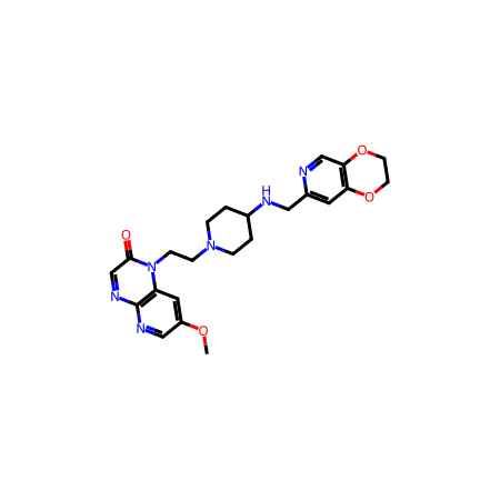 COc1cnc2ncc(=O)n(CCN3CCC(NCc4cc5c(cn4)OCCO5)CC3)c2c1